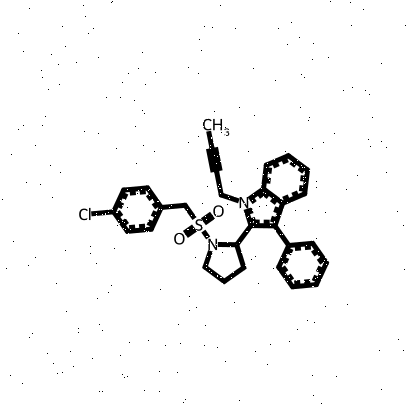 CC#CCn1c(C2CCCN2S(=O)(=O)Cc2ccc(Cl)cc2)c(-c2ccccc2)c2ccccc21